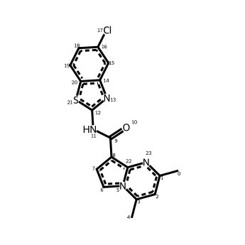 Cc1cc(C)n2ccc(C(=O)Nc3nc4cc(Cl)ccc4s3)c2n1